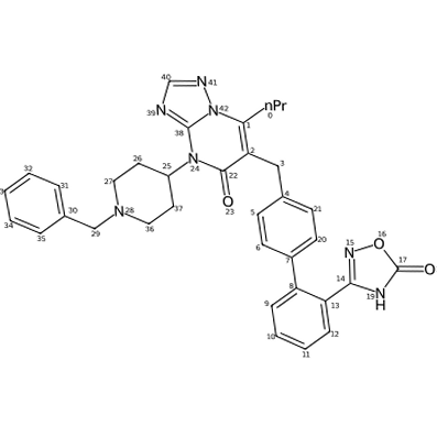 CCCc1c(Cc2ccc(-c3ccccc3-c3noc(=O)[nH]3)cc2)c(=O)n(C2CCN(Cc3ccccc3)CC2)c2ncnn12